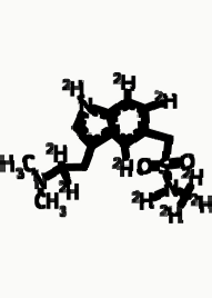 [2H]c1c(CS(=O)(=O)N([2H])C([2H])([2H])[2H])c([2H])c2c(CC([2H])([2H])N(C)C)cn([2H])c2c1[2H]